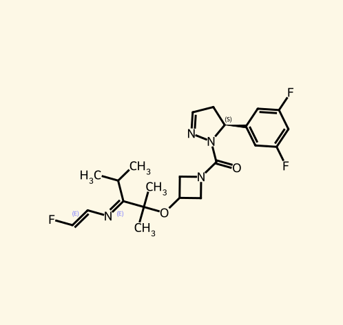 CC(C)/C(=N\C=C\F)C(C)(C)OC1CN(C(=O)N2N=CC[C@H]2c2cc(F)cc(F)c2)C1